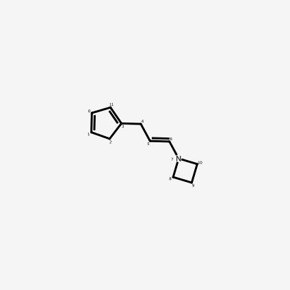 C1=CCC(C/C=C/N2CCC2)=C1